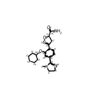 CN1CCN=C1c1ccc(C2=NOC(C(N)=O)C2)c(OC2CCCCC2)c1